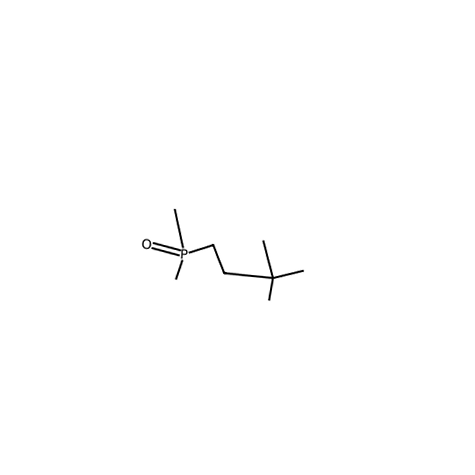 CC(C)(C)CCP(C)(C)=O